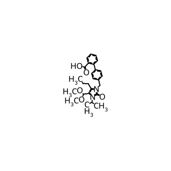 CCCc1c(C(OC)OC)n(C(C)C)c(=O)n1Cc1ccc(-c2ccccc2C(=O)O)cc1